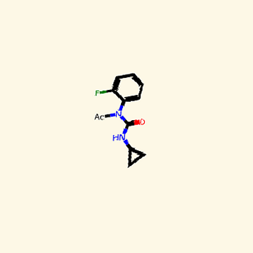 CC(=O)N(C(=O)NC1CC1)c1ccccc1F